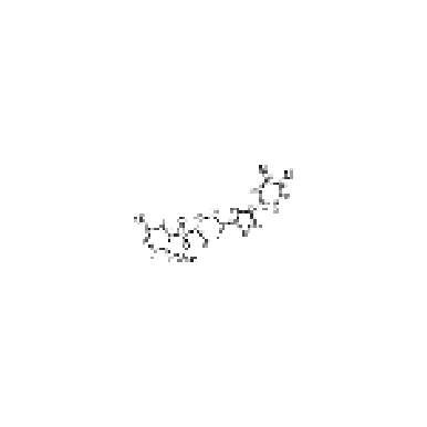 COc1ccc(Cl)cc1S(=O)(=O)N1CCN(c2nc(-c3ccc(Cl)c(Cl)c3)cs2)CC1